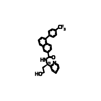 O=C(N[C@H](CCO)c1ccccn1)c1ccc2c(-c3ccc(C(F)(F)F)cc3)cccc2c1